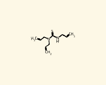 C=CCNC(=S)N(CC=C)CC=C